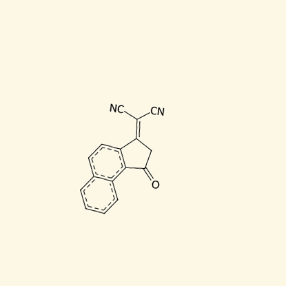 N#CC(C#N)=C1CC(=O)c2c1ccc1ccccc21